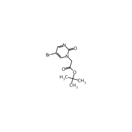 CC(C)(C)OC(=O)Cn1cc(Br)cnc1=O